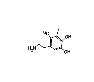 Cc1c(O)c(O)cc(CCN)c1O